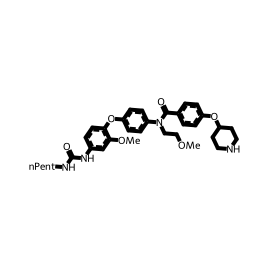 CCCCCNC(=O)Nc1ccc(Oc2ccc(N(CCOC)C(=O)c3ccc(OC4CCNCC4)cc3)cc2)c(OC)c1